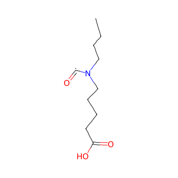 CCCCN([C]=O)CCCCC(=O)O